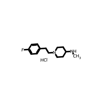 CNC1CCN(CCc2ccc(F)cc2)CC1.Cl